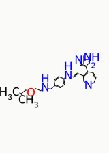 CC(C)COCCNCc1ccc(N/C=C/C2=C(C(/C=N)=C/N)C=CCN=C2)cc1